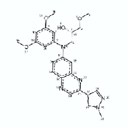 COC[C@@H](O)CN(c1cc(OC)cc(OC)c1)c1ccc2ncc(C3C=NN(C)C3)nc2c1